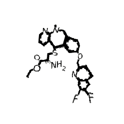 CCOC(=O)[C@@H](N)CSC1c2cc(OCc3ccc4cc(F)c(F)cc4n3)ccc2CN(C)c2ncccc21